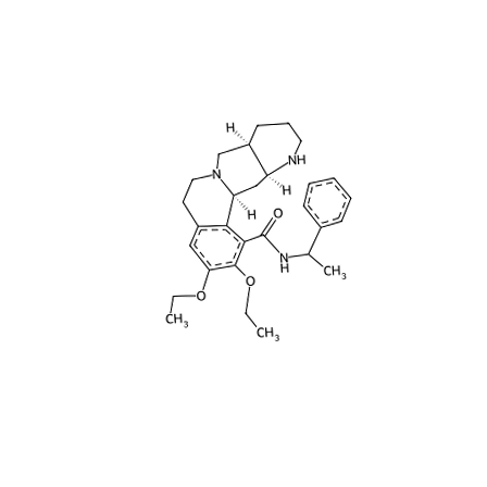 CCOc1cc2c(c(C(=O)NC(C)c3ccccc3)c1OCC)[C@@H]1C[C@@H]3NCCC[C@@H]3CN1CC2